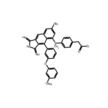 CCC(=O)Cc1ccc(N(C)c2cc(C(C)(C)C)cc3cc4c(c(-c5cccc(Oc6cccc(OC)c6)c5)c23)C(=N)NC4=N)cc1